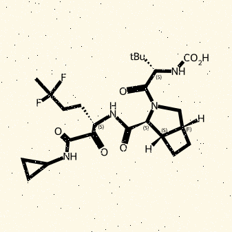 CC(F)(F)CC[C@H](NC(=O)[C@@H]1[C@H]2CC[C@H]2CN1C(=O)[C@@H](NC(=O)O)C(C)(C)C)C(=O)C(=O)NC1CC1